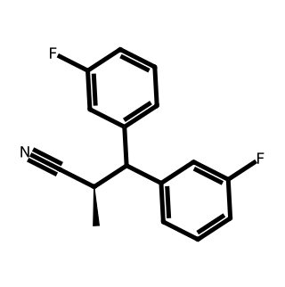 C[C@@H](C#N)C(c1cccc(F)c1)c1cccc(F)c1